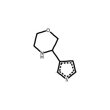 [c]1sccc1C1COCCN1